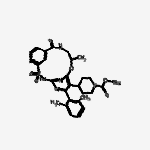 Cc1cccc(C)c1-c1nc2nc(c1C1CCN(C(=O)OC(C)(C)C)CC1)O[C@H](C)CNC(=O)c1cccc(c1)S(=O)(=O)N2